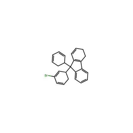 BrC1=CC(C2(C3C=CC=CC3)C3=C(CCC=C3)c3ccccc32)CC=C1